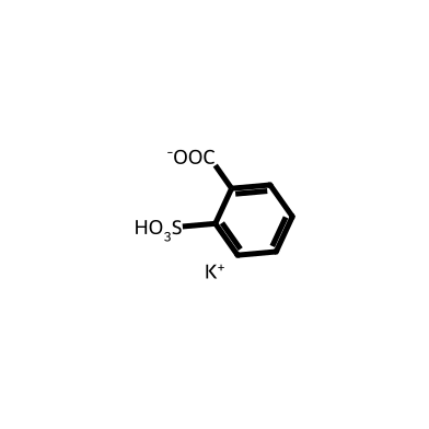 O=C([O-])c1ccccc1S(=O)(=O)O.[K+]